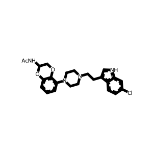 CC(=O)NC1COc2c(cccc2N2CCN(CCc3c[nH]c4cc(Cl)ccc34)CC2)O1